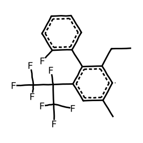 CCc1[c]c(C)cc(C(F)(C(F)(F)F)C(F)(F)F)c1-c1ccccc1F